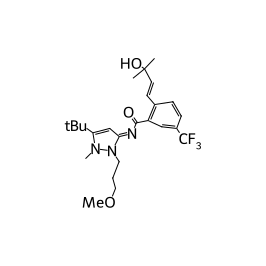 COCCCn1/c(=N/C(=O)c2cc(C(F)(F)F)ccc2/C=C/C(C)(C)O)cc(C(C)(C)C)n1C